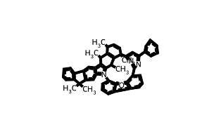 CC1C=CC2(C)C3=C1C(C)c1c(n(c4cc5c(cc14)-c1ccccc1C5(C)C)-c1cccc4c1oc1c(cccc14)-c1nc(-c4ccccc4)cc2n1)C3C